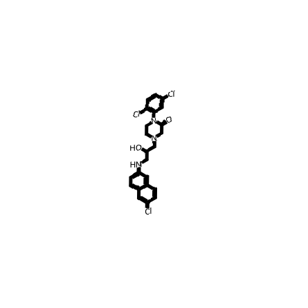 O=C1CN(CC(O)CNc2ccc3cc(Cl)ccc3c2)CCN1c1cc(Cl)ccc1Cl